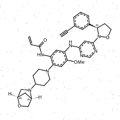 C#Cc1cccc([C@H]2CCON2c2cc(Nc3cc(NC(=O)C=C)c(N4CCC(N5C[C@H]6C[C@@H]5CO6)CC4)cc3OC)ncn2)c1